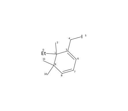 CCC1(C)C(CI)=CC=CC1(C)C